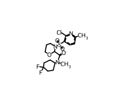 Cc1ccc(S(=O)(=O)N2CCCOC2C(=O)N(C)C2CCC(F)(F)CC2)c(Cl)n1